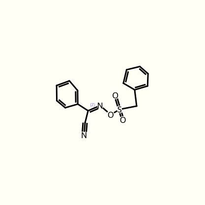 N#C/C(=N\OS(=O)(=O)Cc1ccccc1)c1ccccc1